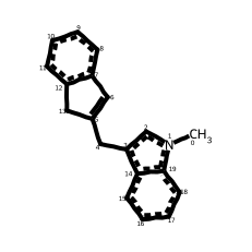 Cn1cc(CC2=Cc3ccccc3C2)c2ccccc21